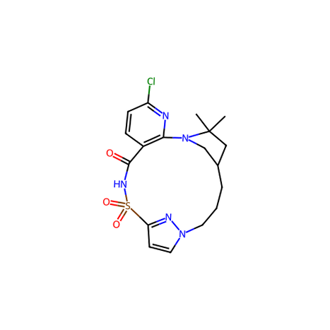 CC1(C)CC2CCCn3ccc(n3)S(=O)(=O)NC(=O)c3ccc(Cl)nc3N1C2